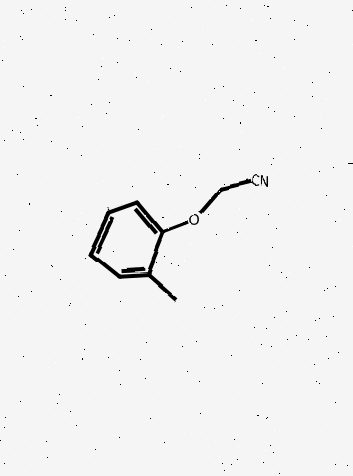 Cc1cc[c]cc1OCC#N